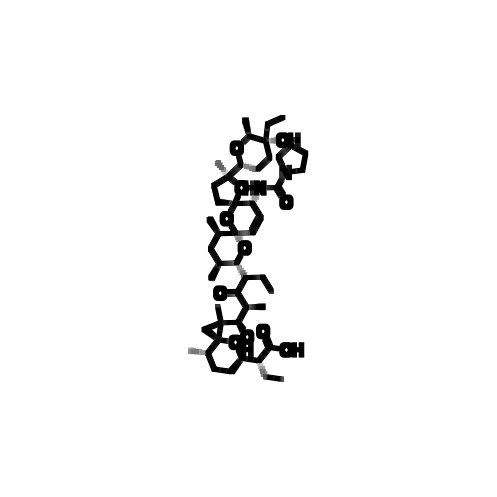 CCC(C(=O)[C@@H](C)[C@@H](O)C1(C)C[C@]12O[C@@H]([C@@H](CC)C(=O)O)CC[C@@H]2C)[C@H]1O[C@]2(C=C[C@@H](NC(=O)N3CCCC3)[C@]3(CC[C@@](C)([C@H]4CC[C@](O)(CC)[C@H](C)O4)O3)O2)[C@H](C)C[C@@H]1C